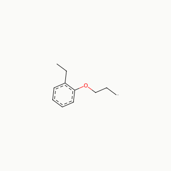 [CH2]CCOc1ccccc1CC